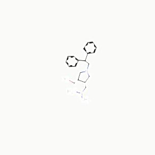 CN(C)C[C@@H]1CN(CC(c2ccccc2)c2ccccc2)C[C@@H]1CO